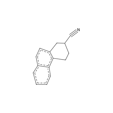 N#CC1CCc2c(ccc3ccccc23)C1